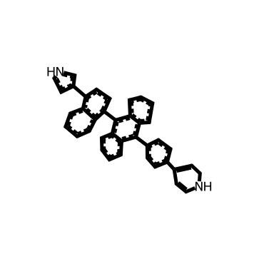 C1=CC(c2ccc(-c3c4ccccc4c(-c4ccc(-c5cc[nH]c5)c5ccccc45)c4ccccc34)cc2)=CCN1